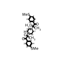 CSc1ccc(C(=O)C(C)(C)N2CCN(C(C)(C)C(=O)c3ccc(SC)cc3)CC2)cc1